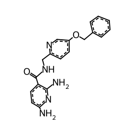 Nc1ccc(C(=O)NCc2ccc(OCc3ccccc3)cn2)c(N)n1